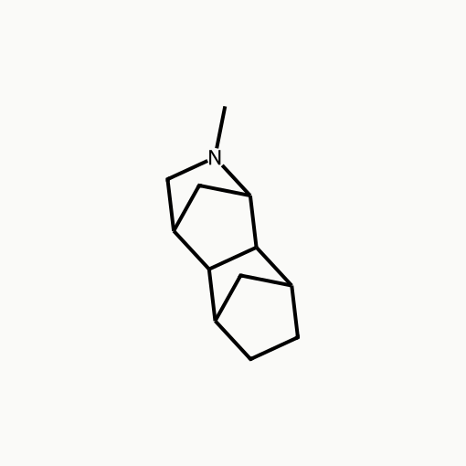 CN1CC2CC1C1C3CCC(C3)C21